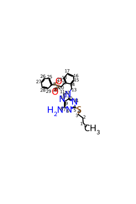 CCCCSc1nc(N)c2ncn(Cc3ccccc3CS(=O)(=O)c3ccccc3)c2n1